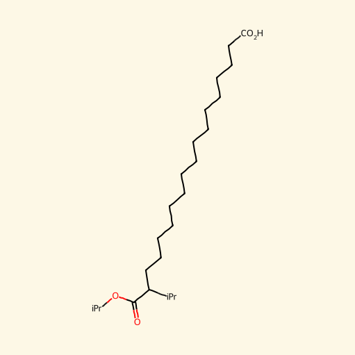 CC(C)OC(=O)C(CCCCCCCCCCCCCCCC(=O)O)C(C)C